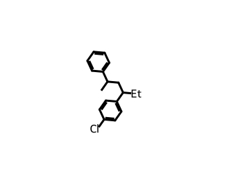 CCC(CC(C)c1ccccc1)c1ccc(Cl)cc1